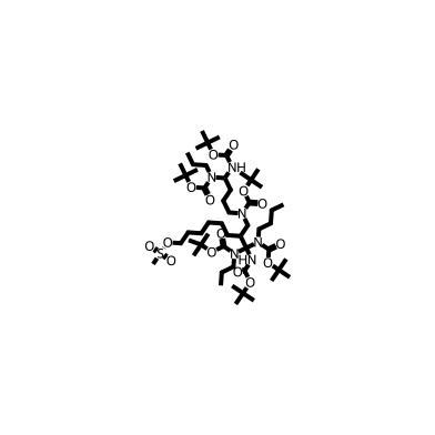 CCCCN(C(=O)OC(C)(C)C)C(NC(=O)OC(C)(C)C)(C(CCCCCCOS(C)(=O)=O)CN(CCCC(NC(=O)OC(C)(C)C)N(CCC)C(=O)OC(C)(C)C)C(=O)OC(C)(C)C)N(CCC)C(=O)OC(C)(C)C